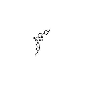 Nc1ccc(-c2ccc(F)cc2)nc1NC(=O)N1CC2CN(CCF)CC2C1